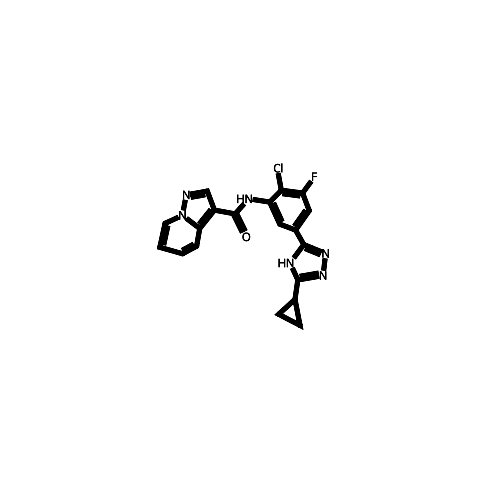 O=C(Nc1cc(-c2nnc(C3CC3)[nH]2)cc(F)c1Cl)c1cnn2ccccc12